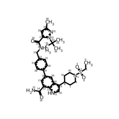 CCS(=O)(=O)N1CCC(c2c[nH]c3c(C(N)=O)cc(-c4ccc(CNC(=O)c5cc(C)nn5C(C)(C)C)cc4)cc23)CC1